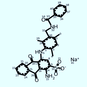 Cc1cc(C)c(Nc2cc(S(=O)(=O)[O-])c(N)c3c2C(=O)c2ccccc2C3=O)c(C)c1CNC(=O)c1ccccc1.[Na+]